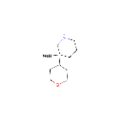 CNC1(C2CCOCC2)CCCNC1